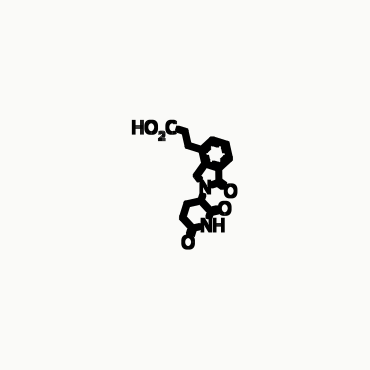 O=C(O)CCc1cccc2c1CN(C1CCC(=O)NC1=O)C2=O